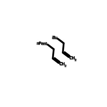 C=CCC(C)CC.C=CCCCCCC